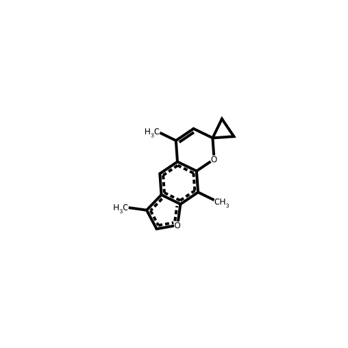 CC1=CC2(CC2)Oc2c1cc1c(C)coc1c2C